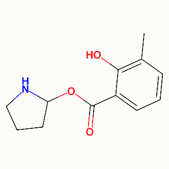 Cc1cccc(C(=O)OC2CCCN2)c1O